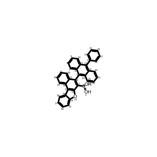 OB(O)c1c(-c2c3ccccc3c(-c3ccccc3)c3ccccc23)c2ccccc2c2c1oc1ccccc12